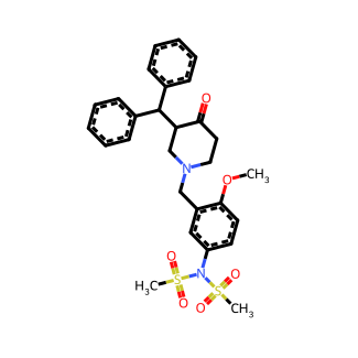 COc1ccc(N(S(C)(=O)=O)S(C)(=O)=O)cc1CN1CCC(=O)C(C(c2ccccc2)c2ccccc2)C1